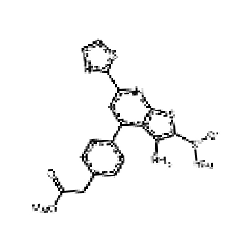 CCCC[S+]([O-])c1sc2nc(-c3nccs3)cc(-c3ccc(CC(=O)OC)cc3)c2c1N